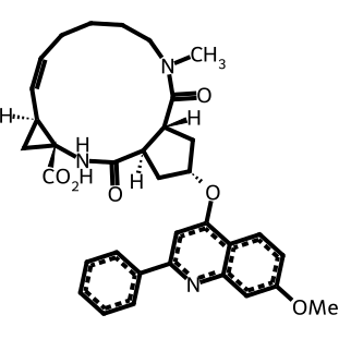 COc1ccc2c(O[C@@H]3C[C@H]4C(=O)N[C@]5(C(=O)O)C[C@H]5/C=C\CCCCN(C)C(=O)[C@@H]4C3)cc(-c3ccccc3)nc2c1